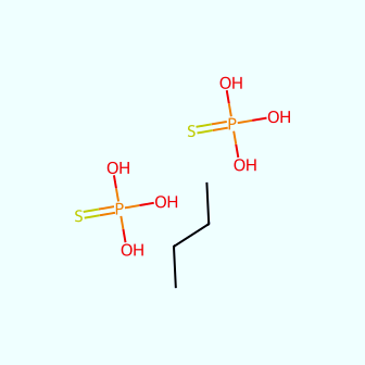 CCCC.OP(O)(O)=S.OP(O)(O)=S